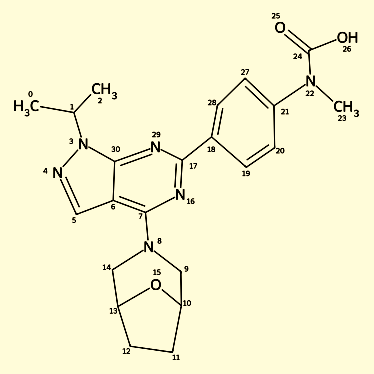 CC(C)n1ncc2c(N3CC4CCC(C3)O4)nc(-c3ccc(N(C)C(=O)O)cc3)nc21